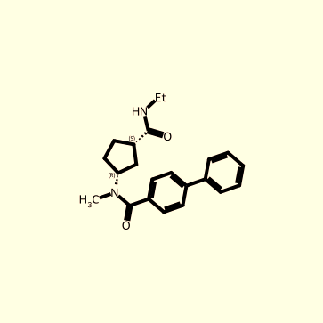 CCNC(=O)[C@H]1CC[C@@H](N(C)C(=O)c2ccc(-c3ccccc3)cc2)C1